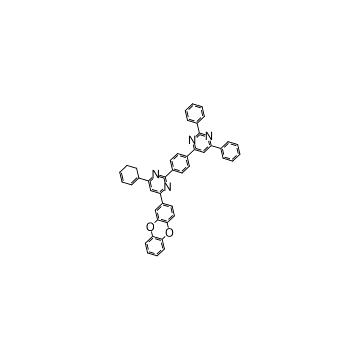 C1=CCCC(c2cc(-c3ccc4c(c3)Oc3ccccc3O4)nc(-c3ccc(-c4cc(-c5ccccc5)nc(-c5ccccc5)n4)cc3)n2)=C1